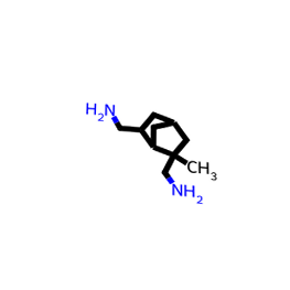 CC1(CN)CC2CC(CN)C1C2